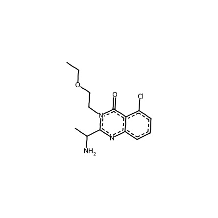 CCOCCn1c(C(C)N)nc2cccc(Cl)c2c1=O